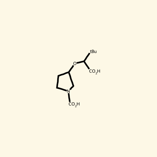 CC(C)(C)C(OC1CCN(C(=O)O)C1)C(=O)O